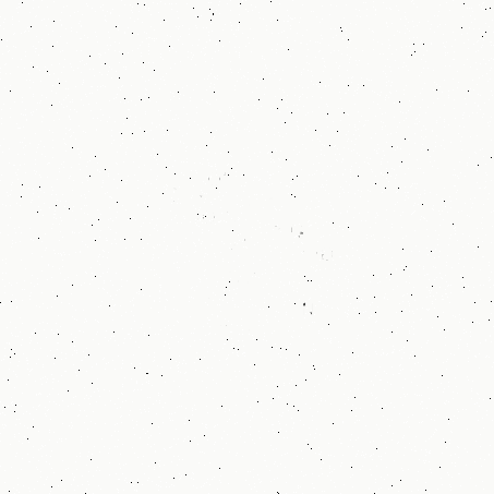 CC=CC(=O)Oc1cccc(C(=C(C#N)C(=O)OC)c2ccccc2)c1